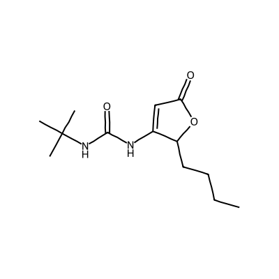 CCCCC1OC(=O)C=C1NC(=O)NC(C)(C)C